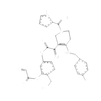 C=CC(=C)Nc1cc(NC(=C)C(=N)C2=C(NCc3ccc(F)cc3)CCN(C(=C)c3ccc[nH]3)C2)ccc1CC